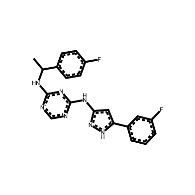 CC(Nc1ncnc(Nc2cc(-c3cccc(F)c3)[nH]n2)n1)c1ccc(F)cc1